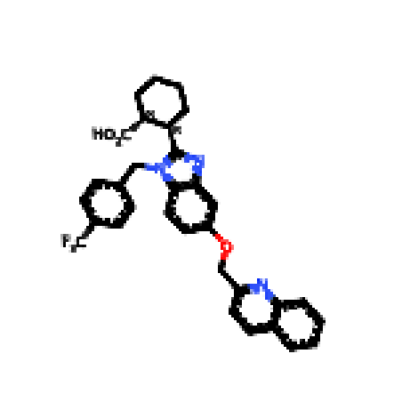 O=C(O)[C@H]1CCCC[C@H]1c1nc2cc(OCc3ccc4ccccc4n3)ccc2n1Cc1ccc(C(F)(F)F)cc1